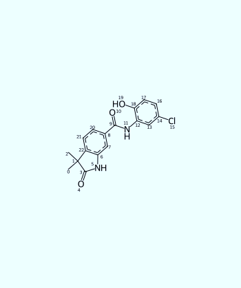 CC1(C)C(=O)Nc2cc(C(=O)Nc3cc(Cl)ccc3O)ccc21